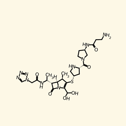 CC(NC(=O)Cn1cnnn1)[C@H]1C(=O)N2C(C(O)O)=C(S[C@@H]3CN[C@H](C(=O)N4CC[C@@H](NC(=O)CCN)C4)C3)[C@H](C)[C@H]12